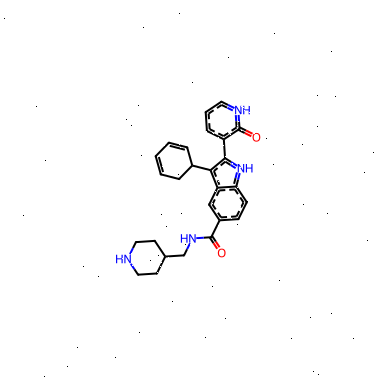 O=C(NCC1CCNCC1)c1ccc2[nH]c(-c3ccc[nH]c3=O)c(C3C=CC=CC3)c2c1